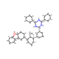 Cc1c(-c2cccc(-c3nc(-c4ccccc4)nc(-c4ccccc4)n3)c2)cccc1-c1ccc2oc3ccccc3c2c1